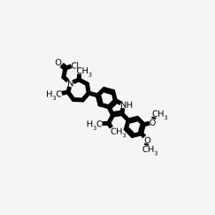 COc1ccc(-c2[nH]c3ccc(C4CCC(C)N(CC(=O)Cl)C(C)C4)cc3c2C(C)C)cc1OC